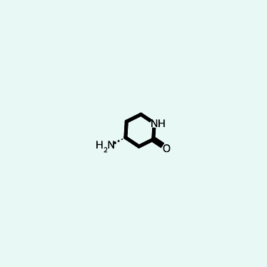 N[C@@H]1CCNC(=O)C1